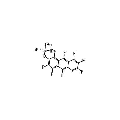 CC(C)[Si](Oc1c(F)c(F)c2c(F)c3[c]c(F)c(F)c(F)c3c(F)c2c1F)(C(C)C)C(C)(C)C